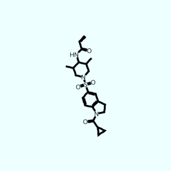 C=CC(=O)NC1C(C)CN(S(=O)(=O)c2ccc3c(c2)CCN3C(=O)C2CC2)CC1C